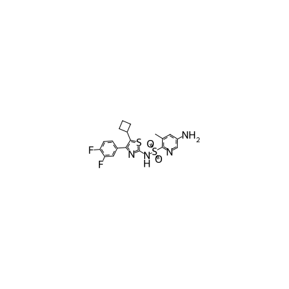 Cc1cc(N)cnc1S(=O)(=O)Nc1nc(-c2ccc(F)c(F)c2)c(C2CCC2)s1